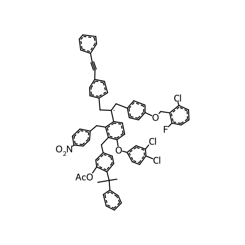 CC(=O)Oc1cc(Cc2c(Oc3ccc(Cl)c(Cl)c3)ccc([C](Cc3ccc(C#Cc4ccccc4)cc3)Cc3ccc(OCc4c(F)cccc4Cl)cc3)c2Cc2ccc([N+](=O)[O-])cc2)ccc1C(C)(C)c1ccccc1